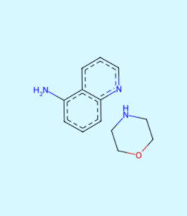 C1COCCN1.Nc1cccc2ncccc12